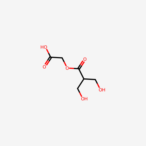 O=C(O)COC(=O)C(CO)CO